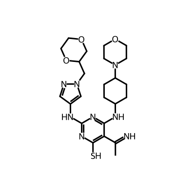 CC(=N)c1c(S)nc(Nc2cnn(CC3COCCO3)c2)nc1NC1CCC(N2CCOCC2)CC1